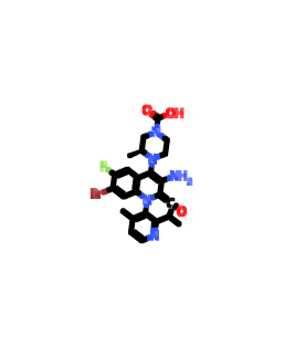 Cc1ccnc(C(C)C)c1N1C(=C=O)C(N)=C(N2CCN(C(=O)O)C[C@@H]2C)c2cc(F)c(Br)cc21